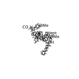 C=C1C[C@@H](C[C@H]2C[C@@H](O[Si](CC)(CC)CC)C[C@@H](CC(CC(=O)O)OCc3ccc(OC)cc3)O2)O[C@@H](C=CC(C)(C)[C@]2(OC)O[C@H](C[C@@H](O)[C@@H](C)OCOCc3ccccc3)CC(=CC(=O)OC)[C@@H]2OC(=O)CCCCCCC)C1